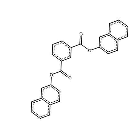 O=C(Oc1ccc2ccccc2c1)c1cccc(C(=O)Oc2ccc3ccccc3c2)c1